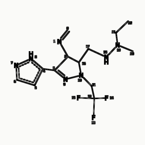 C=NC1C(c2ccn[nH]2)=NN(CC(F)(F)F)C1CNN(C)CC